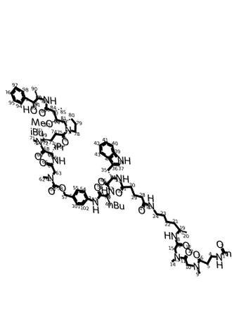 CCCCCCCCCC(=O)NCCC(=O)N(C)CC(=O)N(C)CC(=O)N[C@H](C)CCCCNC(=O)CCCC(=O)N[C@@H](Cc1c[nH]c2ccccc12)C(=O)N[C@@H](CCCC)C(=O)Nc1ccc(COC(=O)N(C)CC(=O)N[C@H](C(=O)N(C)[C@H](CCC(=O)N2CCC[C@H]2[C@H](OC)[C@@H](C)C(=O)N[C@H](C)[C@@H](O)c2ccccc2)[C@@H](C)CC)C(C)C)cc1